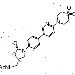 CC(=O)NC[C@H]1CN(c2ccc(-c3ccc(N4CCS(=O)(=O)CC4)nc3)cc2)C(=O)O1